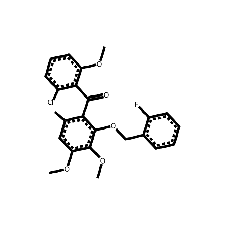 COc1cc(C)c(C(=O)c2c(Cl)cccc2OC)c(OCc2ccccc2F)c1OC